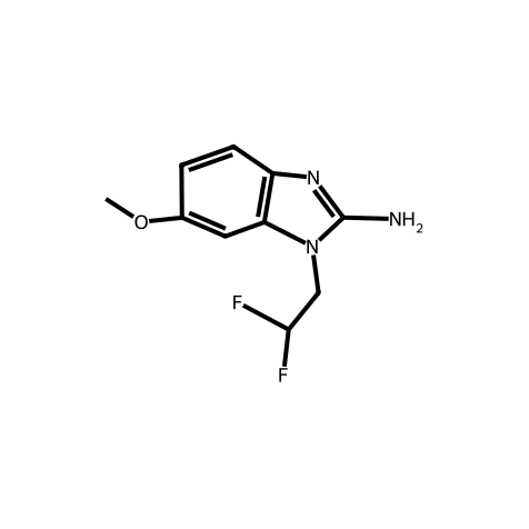 COc1ccc2nc(N)n(CC(F)F)c2c1